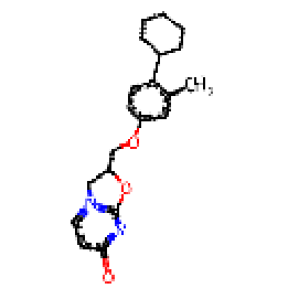 Cc1cc(OCC2Cn3ccc(=O)nc3O2)ccc1C1CCCCC1